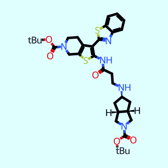 CC(C)(C)OC(=O)N1CCc2c(sc(NC(=O)CCN[C@H]3C[C@@H]4CN(C(=O)OC(C)(C)C)C[C@@H]4C3)c2-c2nc3ccccc3s2)C1